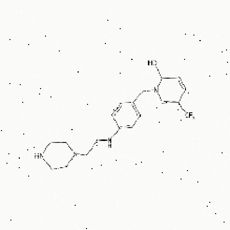 OC1C=CC(C(F)(F)F)=CN1Cc1ccc(NCCN2CCNCC2)cc1